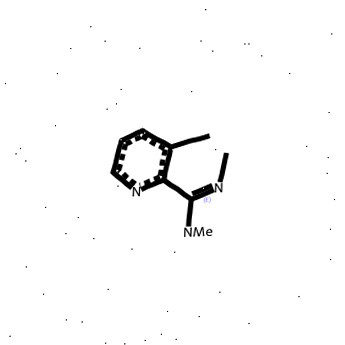 C/N=C(/NC)c1ncccc1C